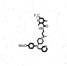 COc1ccc(N(Cc2cccnc2)C2CCN([C@H](C)CCNC(=O)c3c(C)cc(C(F)(F)F)nc3C)CC2)cc1